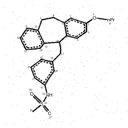 CCCOc1ccc2c(c1)CCc1ccccc1C2Cc1cccc(NS(C)(=O)=O)c1